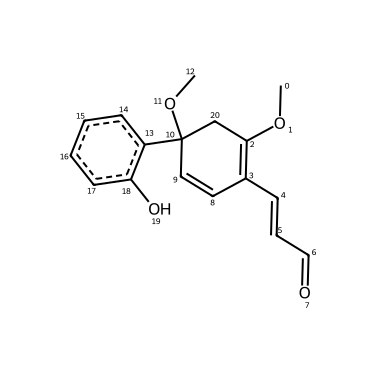 COC1=C(C=CC=O)C=CC(OC)(c2ccccc2O)C1